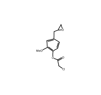 COc1cc(CC2CO2)ccc1OC(=O)CCl